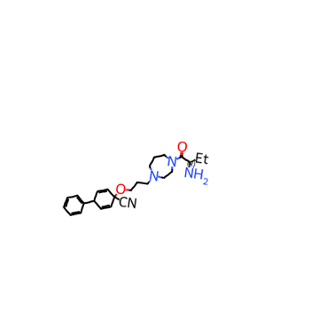 CC[C@@H](N)C(=O)N1CCCN(CCCOC2(C#N)C=CC(c3ccccc3)C=C2)CC1